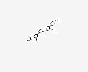 COc1cc(Nc2nccc(-c3ccc(OC4CCOCC4)c(C#N)c3)n2)ncc1C1CCN(C)CC1